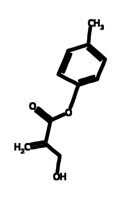 C=C(CO)C(=O)Oc1ccc(C)cc1